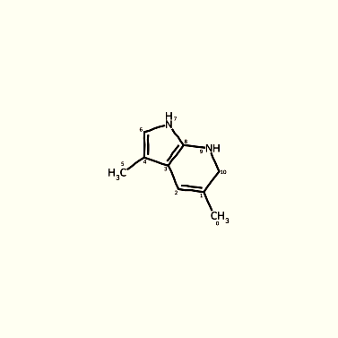 CC1=Cc2c(C)c[nH]c2NC1